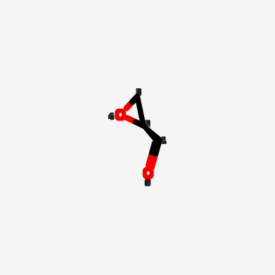 O=C[C@@H]1CO1